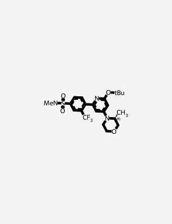 CNS(=O)(=O)c1ccc(-c2cc(N3CCOC[C@H]3C)cc(OC(C)(C)C)n2)c(C(F)(F)F)c1